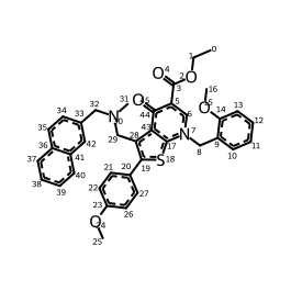 CCOC(=O)c1cn(Cc2ccccc2OC)c2sc(-c3ccc(OC)cc3)c(CN(C)Cc3ccc4ccccc4c3)c2c1=O